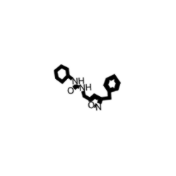 O=C(NCc1cc(Cc2ccccc2)no1)NC1CCCCC1